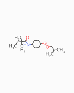 C=C(C)COOC1CCC(NC(=O)C(C)(C)CC)CC1